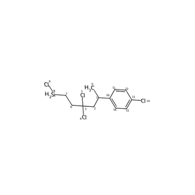 CC(CC(Cl)(Cl)CC[SiH2]Cl)c1ccc(Cl)cc1